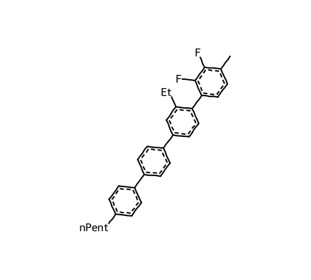 CCCCCc1ccc(-c2ccc(-c3ccc(-c4ccc(C)c(F)c4F)c(CC)c3)cc2)cc1